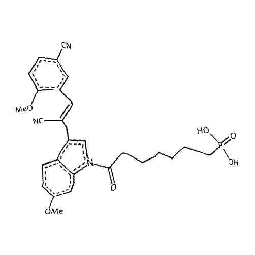 COc1ccc2c(/C(C#N)=C/c3cc(C#N)ccc3OC)cn(C(=O)CCCCCCP(=O)(O)O)c2c1